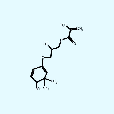 C=C(C)C(=O)OCC(O)COC1=CC(C)(C)C(CCC)C=C1